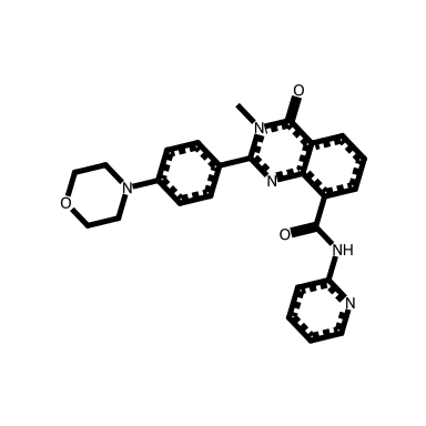 Cn1c(-c2ccc(N3CCOCC3)cc2)nc2c(C(=O)Nc3ccccn3)cccc2c1=O